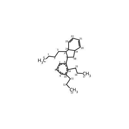 CCCCC1C(c2cccc(CCC)c2CCC)[C]C2C=CC=CC21